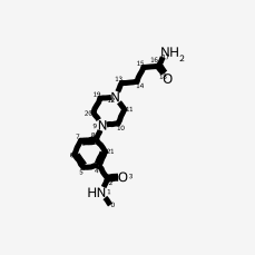 CNC(=O)c1cccc(N2CCN(CCCC(N)=O)CC2)c1